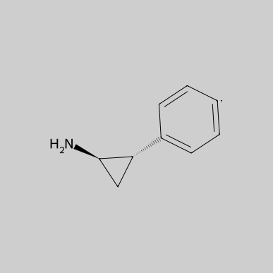 N[C@@H]1C[C@H]1c1cc[c]cc1